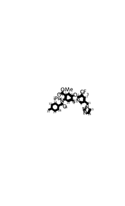 COC(=O)c1cc(Oc2ncc(Cn3ccnn3)cc2C(F)(F)F)c(F)cc1N(C(=O)C1CCC(C)CC1)C(C)C